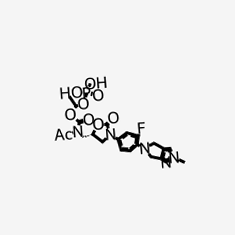 CC(=O)N(C[C@H]1CN(c2ccc(N3Cc4cn(C)nc4C3)c(F)c2)C(=O)O1)C(=O)OC(C)OP(=O)(O)O